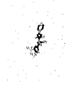 Cc1cc(-c2cn([C@H]3[C@@H]4CC(N5CCOCC5)C[C@@H]43)c(C(C)C)n2)cnc1N